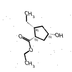 CCOC(=O)[C@H]1C[C@@H](O)C[C@H]1CC